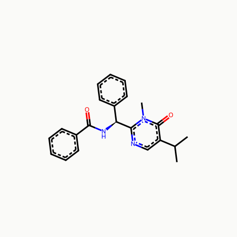 CC(C)c1cnc([C@@H](NC(=O)c2ccccc2)c2ccccc2)n(C)c1=O